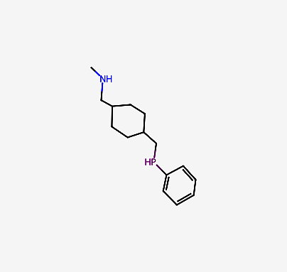 CNCC1CCC(CPc2ccccc2)CC1